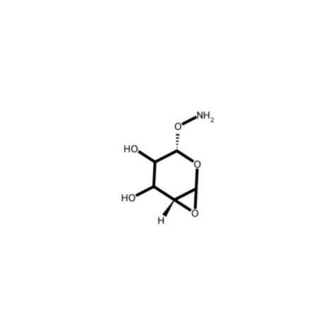 NO[C@@H]1OC2O[C@@H]2C(O)C1O